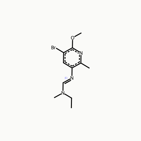 CCN(C)/C=N/c1cc(Br)c(OC)nc1C